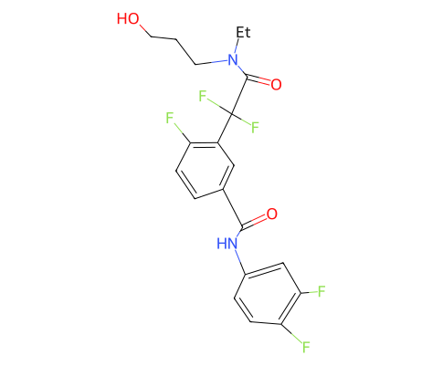 CCN(CCCO)C(=O)C(F)(F)c1cc(C(=O)Nc2ccc(F)c(F)c2)ccc1F